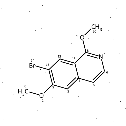 COc1cc2ccnc(OC)c2cc1Br